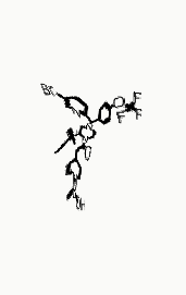 CB(O)N1CCC(CC(=O)N2CCN(C(c3ccc(OC(F)(F)F)cc3)c3ccc(Br)cn3)C[C@@H]2C(C)(C)C)CC1